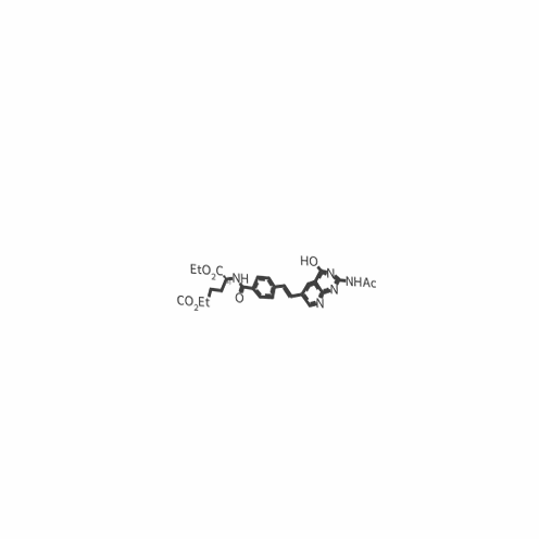 CCOC(=O)CC[C@H](NC(=O)c1ccc(C=Cc2cnc3nc(NC(C)=O)nc(O)c3c2)cc1)C(=O)OCC